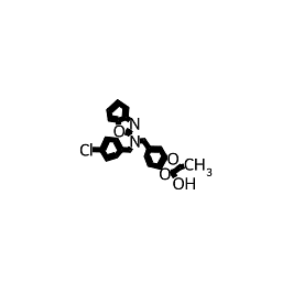 CC(Oc1cccc(CN(Cc2ccc(Cl)cc2)c2nc3ccccc3o2)c1)C(=O)O